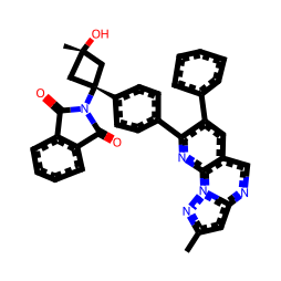 Cc1cc2ncc3cc(-c4ccccc4)c(-c4ccc([C@]5(N6C(=O)c7ccccc7C6=O)C[C@@](C)(O)C5)cc4)nc3n2n1